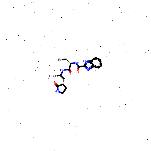 CC(C)C[C@H](NC(=O)c1nc2ccccc2[nH]1)C(=O)N[C@@H](C[C@@H]1CCNC1=O)C(=O)O